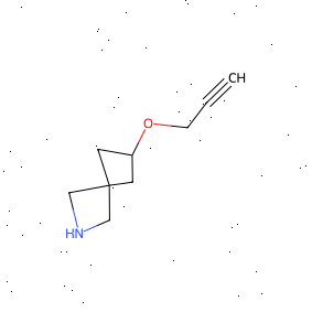 C#CCOC1CC2(CNC2)C1